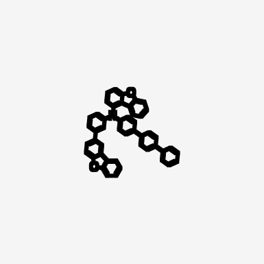 c1ccc(-c2ccc(-c3ccc(N(c4cccc(-c5ccc6oc7ccccc7c6c5)c4)c4cccc5oc6ccccc6c45)cc3)cc2)cc1